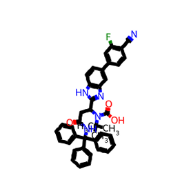 CC(C)(C)N(C(=O)O)C(CC(=O)NC(c1ccccc1)(c1ccccc1)c1ccccc1)c1nc2cc(-c3ccc(C#N)c(F)c3)ccc2[nH]1